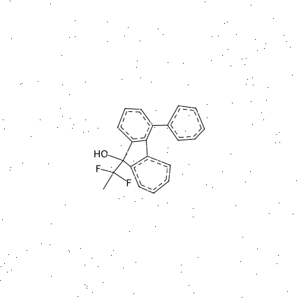 CC(F)(F)C1(O)c2ccccc2-c2c(-c3ccccc3)cccc21